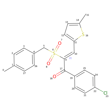 Cc1ccc(CS(=O)(=O)/C(=C\c2ccc(C)s2)C(=O)c2ccc(Cl)cc2)cc1